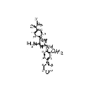 COc1cc(N2CCOCC2)ccc1Nc1nc(N)n(-c2ccc(C(=O)N(C)C)cc2)n1